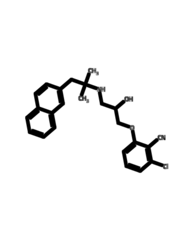 CC(C)(Cc1ccc2ccccc2c1)NCC(O)COc1cccc(Cl)c1C#N